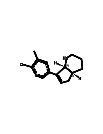 Cc1cc(C2=CC[C@@H]3CCCN[C@H]23)cnc1Cl